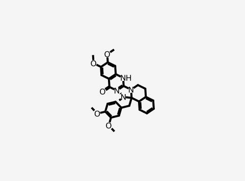 COc1ccc(CC2(N(C)C)c3ccccc3CCN2c2nc(=O)c3cc(OC)c(OC)cc3[nH]2)cc1OC